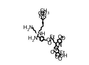 CCN(CCc1c2c(nc3cc4c(cc13)OCO4)-c1cc3c(c(=O)n1C2)COC(=O)[C@]3(O)CC)C(=O)OCc1ccc(C(N)[C@H](CCCCN)NCCCCC#Cc2cnc(S(C)(=O)=O)nc2)cc1